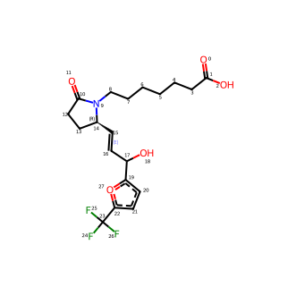 O=C(O)CCCCCCN1C(=O)CC[C@@H]1/C=C/C(O)c1ccc(C(F)(F)F)o1